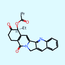 CC[C@@]1(OC(=O)C(C)C)C(=O)CCc2c1cc1n(c2=O)Cc2cc3ccccc3nc2-1